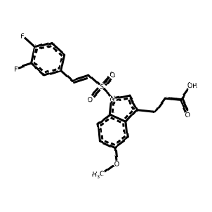 COc1ccc2c(c1)c(CCC(=O)O)cn2S(=O)(=O)C=Cc1ccc(F)c(F)c1